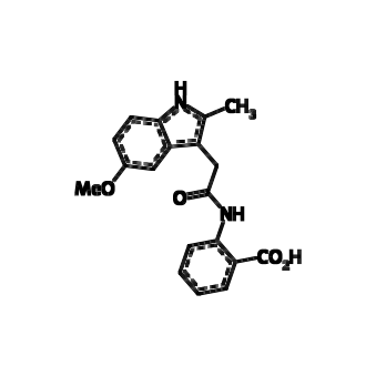 COc1ccc2[nH]c(C)c(CC(=O)Nc3ccccc3C(=O)O)c2c1